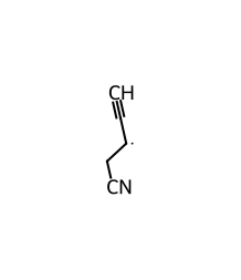 C#C[CH]CC#N